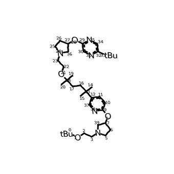 CC(C)(C)OCCN1CCC(Oc2ccc(C(C)(C)CCC(C)(C)OCCN3CCC(Oc4cnc(C(C)(C)C)cn4)C3)cn2)C1